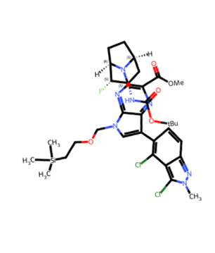 COC(=O)c1nc2c(-c3ccc4nn(C)c(Cl)c4c3Cl)cn(COCC[Si](C)(C)C)c2nc1N1[C@H]2CC[C@@H]1[C@@H](F)[C@@H](NC(=O)OC(C)(C)C)C2